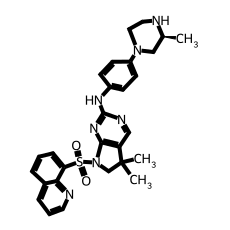 C[C@H]1CN(c2ccc(Nc3ncc4c(n3)N(S(=O)(=O)c3cccc5cccnc35)CC4(C)C)cc2)CCN1